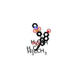 CC(C)(C)C#C[C@]1(O)CC[C@H]2[C@@H]3CCC4=CC(=O)CCC4=C3[C@@H](c3ccc(S(=O)(=O)N4CCCCC4)cc3)C[C@@]21C